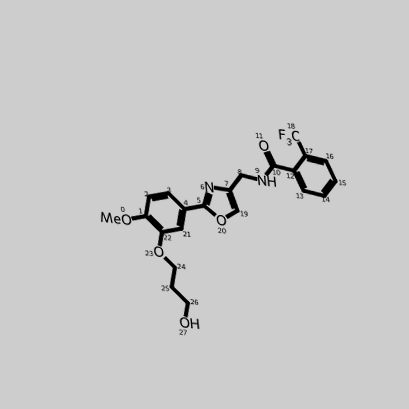 COc1ccc(-c2nc(CNC(=O)c3ccccc3C(F)(F)F)co2)cc1OCCCO